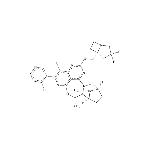 C[C@@H]1Oc2nc(-c3cnccc3C(F)(F)F)c(F)c3nc(OC[C@]45CCN4CC(F)(F)C5)nc(c23)N2C[C@H]3CC[C@H](N3)[C@@H]12